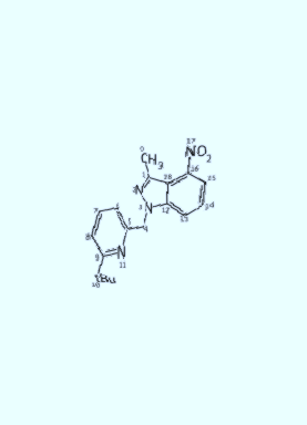 Cc1nn(Cc2cccc(C(C)(C)C)n2)c2cccc([N+](=O)[O-])c12